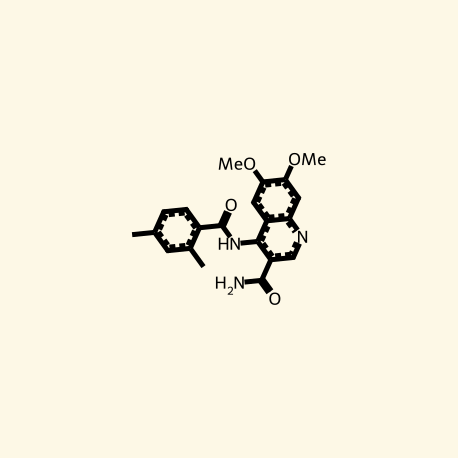 COc1cc2ncc(C(N)=O)c(NC(=O)c3ccc(C)cc3C)c2cc1OC